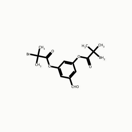 BC(C)(C)C(=O)Oc1cc(C=O)cc(OC(=O)C(C)(C)Br)c1